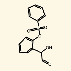 O=CC(O)c1ccccc1OS(=O)(=O)c1ccccc1